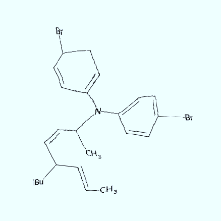 CC=CC(/C=C\C(C)N(C1=CCC(Br)C=C1)c1ccc(Br)cc1)C(C)CC